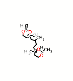 CC(CC[Si]1(C)CCO[SiH](C)O1)C[Si]1(C)CCO[SiH](C)O1